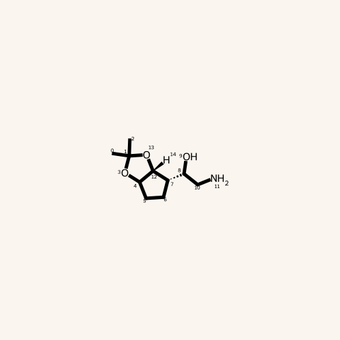 CC1(C)OC2CC[C@@H](C(O)CN)[C@H]2O1